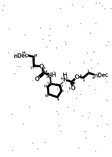 CCCCCCCCCCCCOC(=O)N[C@@H]1CCCC[C@H]1NC(=O)OCCCCCCCCCCCC